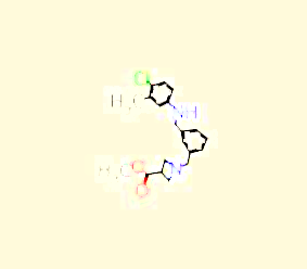 COC(=O)C1CN(Cc2cccc(CNc3ccc(Cl)c(C)c3)c2)C1